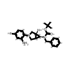 CC(C)(C)OC(=O)N(Cc1ccccc1)[C@H]1C2CN(c3ccc(F)cc3N)C[C@@H]21